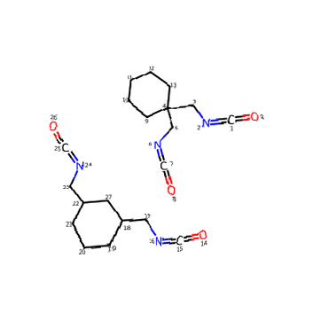 O=C=NCC1(CN=C=O)CCCCC1.O=C=NCC1CCCC(CN=C=O)C1